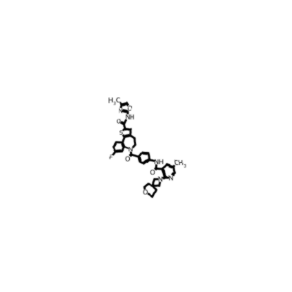 Cc1cnc(N2CC3(CCOCC3)C2)c(C(=O)Nc2ccc(C(=O)N3CCc4cc(C(=O)Nc5nc(C)co5)sc4-c4ccc(F)cc43)cc2)c1